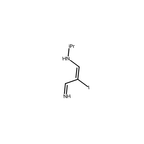 CC(C)N/C=C(/I)C=N